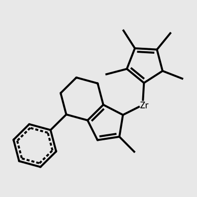 CC1=CC2=C(CCCC2c2ccccc2)[CH]1[Zr][C]1=C(C)C(C)=C(C)C1C